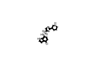 O=S(=O)(Nc1ccc(Cl)c2cc[nH]c12)c1cnc(C2CCCNC2)s1